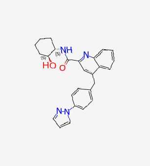 O=C(N[C@H]1CCCC[C@@H]1O)c1cc(Cc2ccc(-n3cccn3)cc2)c2ccccc2n1